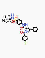 CC(C)(C)NS(=O)(=O)c1ccc(NC(=O)[C@@H]2C[C@@H](c3ccccc3)CN2C(=O)c2ccc(F)cc2)cc1